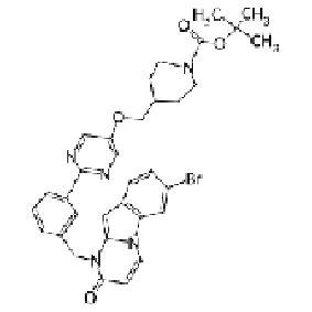 CC(C)(C)OC(=O)N1CCC(COc2cnc(-c3cccc(Cn4c(=O)ccn5c6cc(Br)ccc6cc45)c3)nc2)CC1